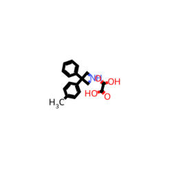 Cc1ccc(C2(c3ccccc3)CNC2)cc1.O=C(O)C(=O)O